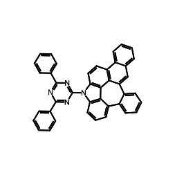 c1ccc(-c2nc(-c3ccccc3)nc(-n3c4cccc5c4c4c6c(cc7ccccc7c6ccc43)-c3ccccc3-5)n2)cc1